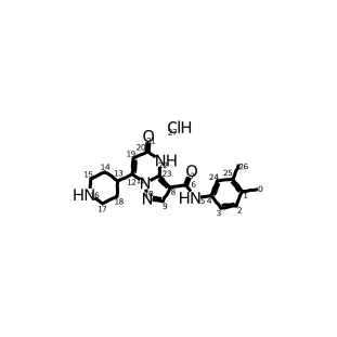 Cc1ccc(NC(=O)c2cnn3c(C4CCNCC4)cc(=O)[nH]c23)cc1C.Cl